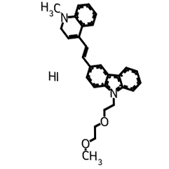 COCCOCCn1c2ccccc2c2cc(C=CC3=CCN(C)c4ccccc43)ccc21.I